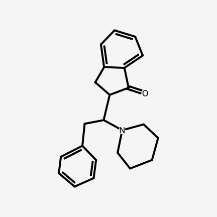 O=C1c2ccccc2CC1C(Cc1ccccc1)N1CCCCC1